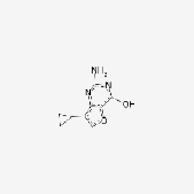 Nc1nc(O)c2occ(C3CC3)c2n1